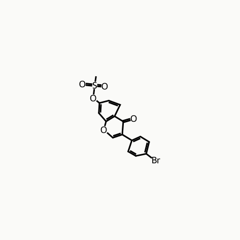 CS(=O)(=O)Oc1ccc2c(=O)c(-c3ccc(Br)cc3)coc2c1